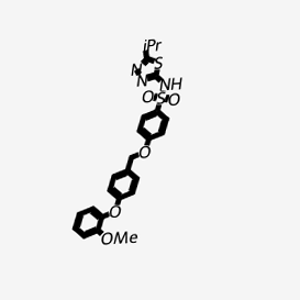 COc1ccccc1Oc1ccc(COc2ccc(S(=O)(=O)Nc3nnc(C(C)C)s3)cc2)cc1